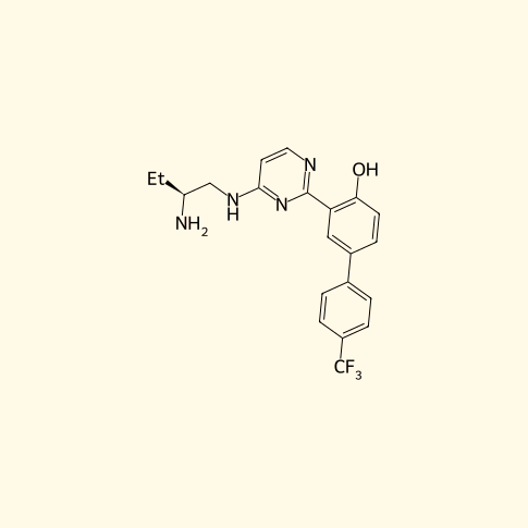 CC[C@H](N)CNc1ccnc(-c2cc(-c3ccc(C(F)(F)F)cc3)ccc2O)n1